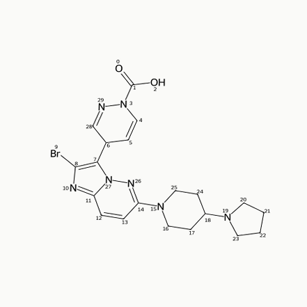 O=C(O)N1C=CC(c2c(Br)nc3ccc(N4CCC(N5CCCC5)CC4)nn23)C=N1